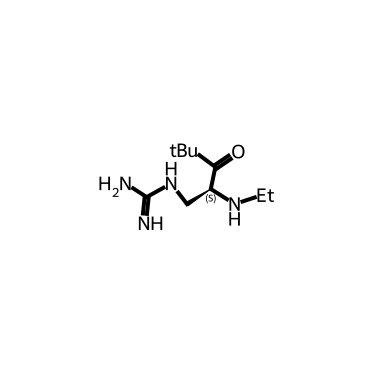 CCN[C@@H](CNC(=N)N)C(=O)C(C)(C)C